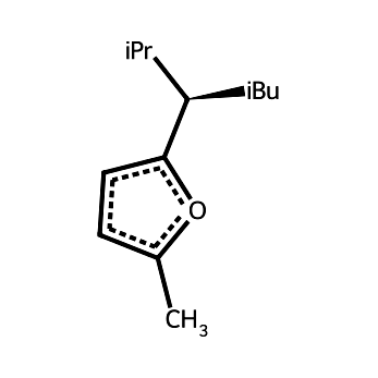 CCC(C)[C@@H](c1ccc(C)o1)C(C)C